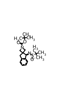 CC(C)(C)OC(=O)N1CC2(Cc3ccccc3C2=N[S@+]([O-])C(C)(C)C)C1